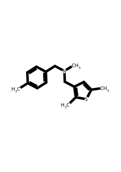 Cc1ccc(CN(C)Cc2cc(C)sc2C)cc1